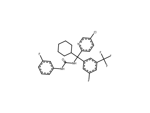 O=C(Nc1cccc(F)c1)NC(c1cc(F)cc(C(F)(F)F)c1)(c1ccc(Cl)cn1)C1CCCCC1